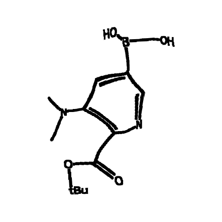 CN(C)c1cc(B(O)O)cnc1C(=O)OC(C)(C)C